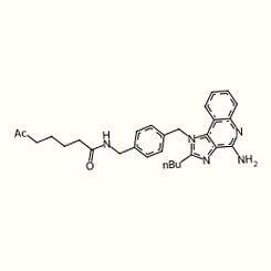 CCCCc1nc2c(N)nc3ccccc3c2n1Cc1ccc(CNC(=O)CCCCC(C)=O)cc1